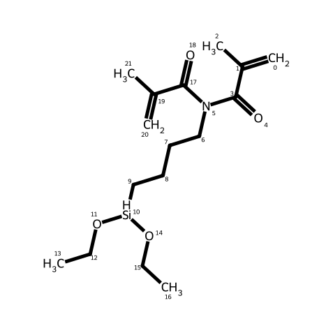 C=C(C)C(=O)N(CCCC[SiH](OCC)OCC)C(=O)C(=C)C